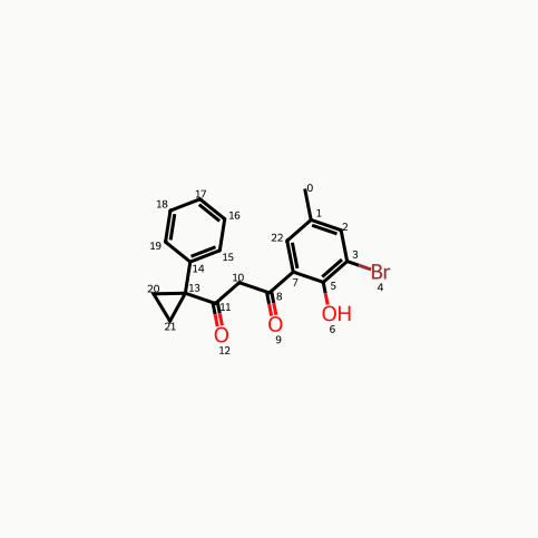 Cc1cc(Br)c(O)c(C(=O)CC(=O)C2(c3ccccc3)CC2)c1